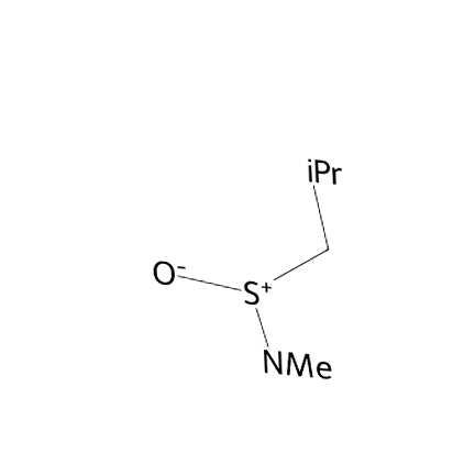 CN[S+]([O-])CC(C)C